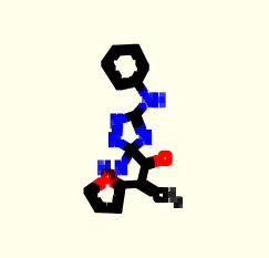 C=C(C(=O)C1(N)N=NC(Nc2ccccc2)=N1)c1ccco1